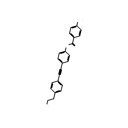 CCCc1ccc(C#Cc2ccc(OC(=O)c3ccc(O)cc3)cc2)cc1